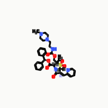 CN1CCN(CCNC(=O)OC[C@@]2(C)[C@H](C(=O)OC(c3ccccc3)c3ccccc3)N3C(=O)/C(=C/c4ccccn4)[C@H]3S2(=O)=O)CC1